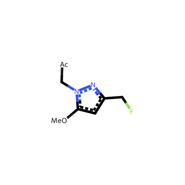 COc1cc(CF)nn1CC(C)=O